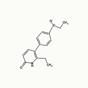 CCc1[nH]c(=O)ccc1-c1ccc([S+]([O-])CC)cc1